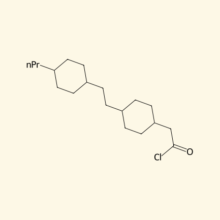 CCCC1CCC(CCC2CCC(CC(=O)Cl)CC2)CC1